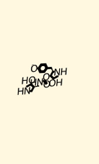 COc1ccc(C[C@H]2NC[C@H](O)[C@H]2OC(=O)NC[C@H]2CNC[C@@H]2O)cc1